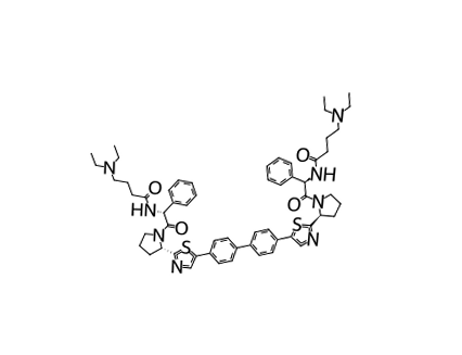 CCN(CC)CCCC(=O)N[C@@H](C(=O)N1CCC[C@H]1c1ncc(-c2ccc(-c3ccc(-c4cnc([C@@H]5CCCN5C(=O)[C@H](NC(=O)CCCN(CC)CC)c5ccccc5)s4)cc3)cc2)s1)c1ccccc1